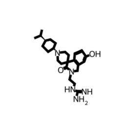 CC(C)[C@H]1CC[C@@H](N2CCC3(CC2)C(=O)N(CCNC(=N)N)Cc2cc(O)ccc23)CC1